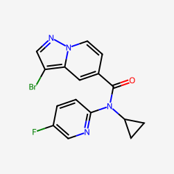 O=C(c1ccn2ncc(Br)c2c1)N(c1ccc(F)cn1)C1CC1